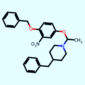 CC(Oc1ccc(OCc2ccccc2)c([N+](=O)[O-])c1)N1CCC(Cc2ccccc2)CC1